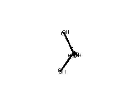 O=C(O)CCCCCCCCCCCCCCCCCCSCCCc1ccc(C(=O)O)c(C(=O)O)c1CCCSCCCCCCCCCCCCCCCCCCC(=O)O